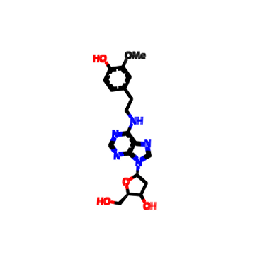 COc1cc(CCNc2ncnc3c2ncn3[C@H]2CC(O)[C@@H](CO)O2)ccc1O